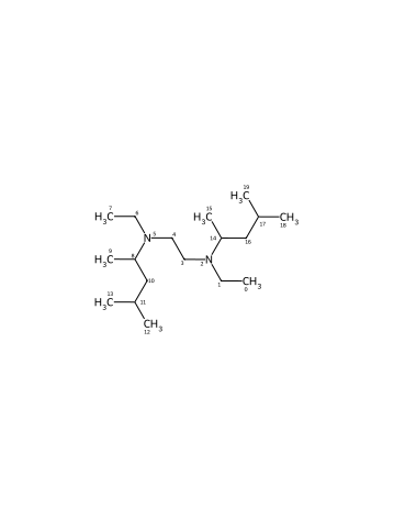 CCN(CCN(CC)C(C)CC(C)C)C(C)CC(C)C